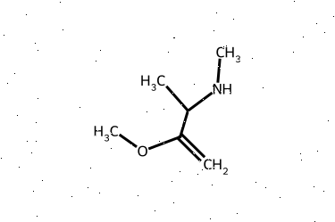 C=C(OC)C(C)NC